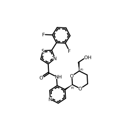 O=C(Nc1cnccc1[C@@H]1OCC[C@H](CO)O1)c1csc(-c2c(F)cccc2F)n1